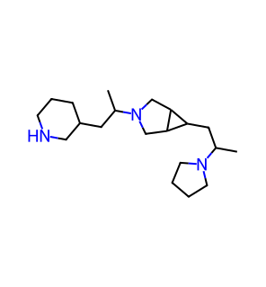 CC(CC1C2CN(C(C)CC3CCCNC3)CC12)N1CCCC1